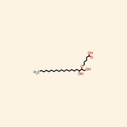 CCCCCCCCCCCCCCCCC(O)C(CO)OCCCCC(=O)O